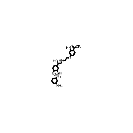 Nc1cccc(S(=O)(=O)Nc2cc([C@@H](O)CNCCOc3ccc4c(C(F)(F)F)n[nH]c4c3)ccc2F)c1